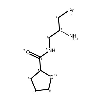 CC(C)C[C@H](N)CNC(=O)C1CCCO1